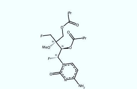 CO[C@](CF)(COC(=O)C(C)C)[C@@H](OC(=O)C(C)C)[C@@H](F)n1ccc(N)nc1=O